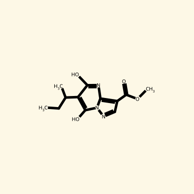 CCC(C)c1c(O)nc2c(C(=O)OC)cnn2c1O